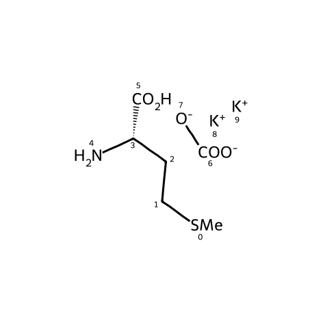 CSCC[C@H](N)C(=O)O.O=C([O-])[O-].[K+].[K+]